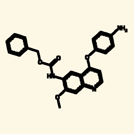 COc1cc2nccc(Oc3ccc(N)cc3)c2cc1NC(=O)OCc1ccccc1